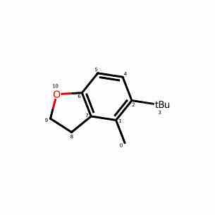 Cc1c(C(C)(C)C)ccc2c1CCO2